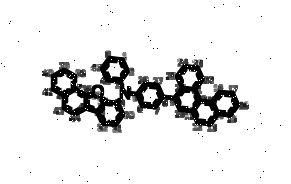 c1ccc(N(c2ccc(-c3cc4ccc5ccccc5c4c4ccccc34)cc2)c2cccc3c2oc2c4ccccc4ccc32)cc1